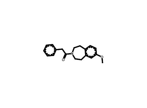 COc1ccc2c(c1)CCN(C(=O)Cc1ccccc1)CC2